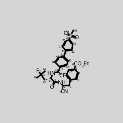 CCOC(=O)c1ccc(C[C@@H](C#N)NC(=O)[C@H](CC(C)(C)F)N[C@@H](c2ccc(-c3ccc(S(C)(=O)=O)cc3)cc2)C(F)(F)F)cc1